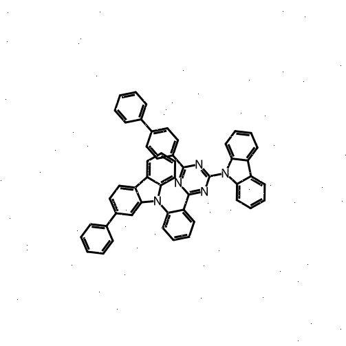 c1ccc(-c2ccc(-c3nc(-c4ccccc4-n4c5ccccc5c5ccc(-c6ccccc6)cc54)nc(-n4c5ccccc5c5ccccc54)n3)cc2)cc1